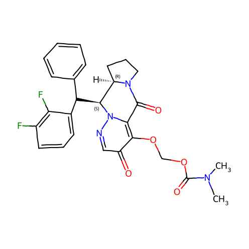 CN(C)C(=O)OCOc1c2n(ncc1=O)[C@@H](C(c1ccccc1)c1cccc(F)c1F)[C@H]1CCCN1C2=O